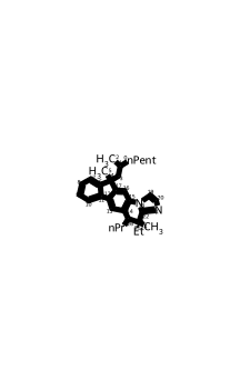 CCCCCC(C)CC1(C)c2ccccc2-c2cc3c(cc21)-n1ccnc1[C@](C)(CC)C3CCC